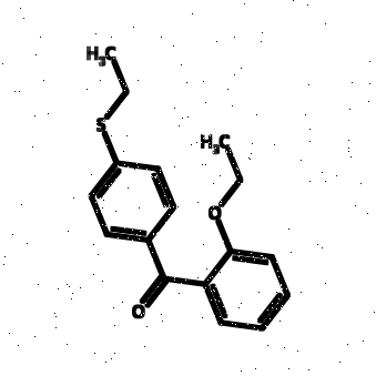 CCOc1ccccc1C(=O)c1ccc(SCC)cc1